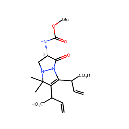 C=CC(C(=O)O)C1=C(C(C=C)C(=O)O)C(C)(C)N2C[C@H](NC(=O)OC(C)(C)C)C(=O)N12